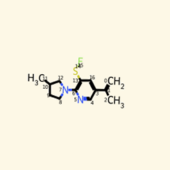 C=C(C)c1cnc(N2CCC(C)C2)c(SF)c1